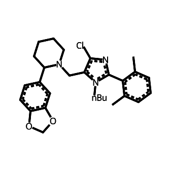 CCCCn1c(-c2c(C)cccc2C)nc(Cl)c1CN1CCCCC1c1ccc2c(c1)OCO2